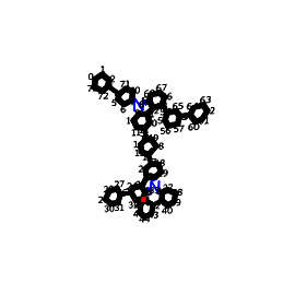 c1ccc(-c2ccc(-n3c4ccc(-c5ccc(-c6ccc7c(c6)c6cc(-c8ccccc8)ccc6n7-c6ccccc6-c6ccccc6)cc5)cc4c4c(-c5cccc(-c6ccccc6)c5)cccc43)cc2)cc1